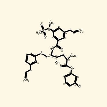 C=CCc1cccc(OC[C@H](NC(=O)c2cc(CC=C)cc(N(C)S(C)(=O)=O)c2)[C@@H](O)C[C@@H](OC)C(=O)Nc2cccc(Cl)c2)c1